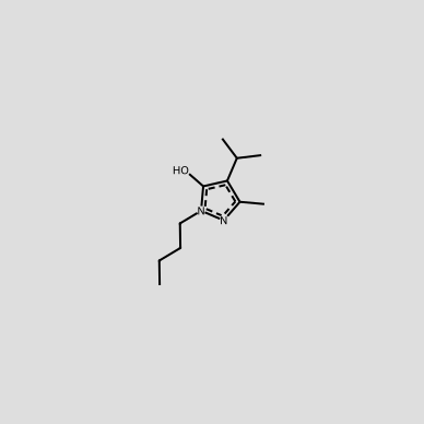 CCCCn1nc(C)c(C(C)C)c1O